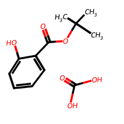 CC(C)(C)OC(=O)c1ccccc1O.O=C(O)O